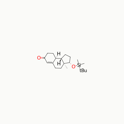 CC(C)(C)[Si](C)(C)O[C@H]1CC[C@H]2[C@@H]3CCC(=O)C=C3CC[C@]12C